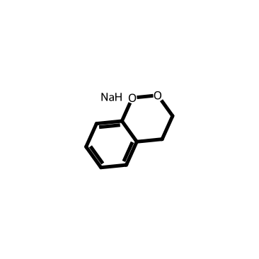 [NaH].c1ccc2c(c1)CCOO2